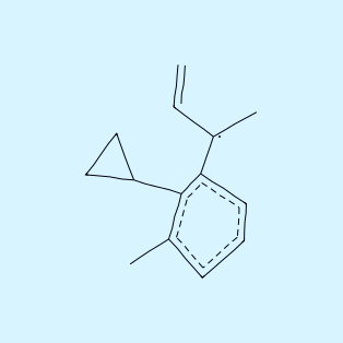 C=C[C](C)c1cccc(C)c1C1CC1